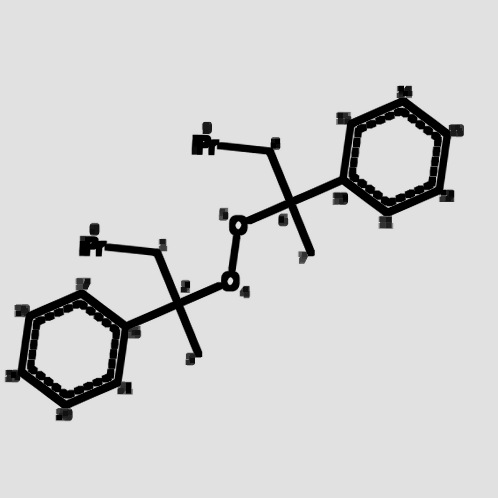 CC(C)CC(C)(OOC(C)(CC(C)C)c1ccccc1)c1ccccc1